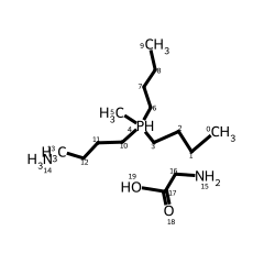 CCCC[PH](C)(CCCC)CCCC.N.NCC(=O)O